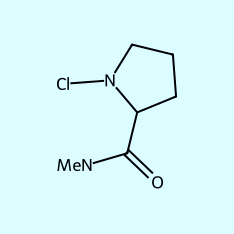 CNC(=O)C1CCCN1Cl